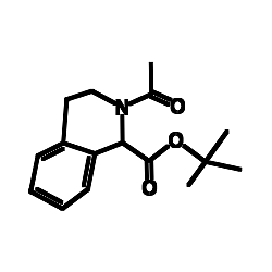 CC(=O)N1CCc2ccccc2C1C(=O)OC(C)(C)C